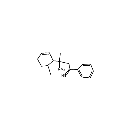 CNC(C)(CC(=N)c1ccccc1)C1C=CCCC1C